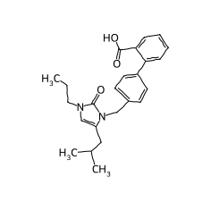 CCCn1cc(CC(C)C)n(Cc2ccc(-c3ccccc3C(=O)O)cc2)c1=O